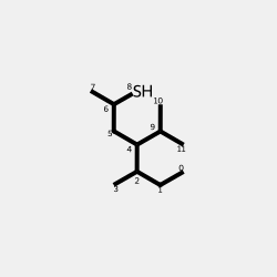 CCC(C)C(CC(C)S)C(C)C